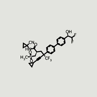 CS(=O)(=O)C[C@H](C[C@@](C#CC1CC1)(c1ccc(-c2ccc([C@@H](O)C(F)F)cc2)cc1)C(F)(F)F)C(=O)NC1(C#N)CC1